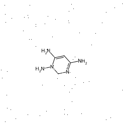 NC1=CC(N)=NCN1N